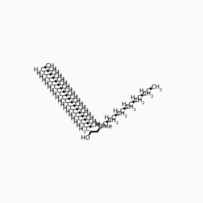 C=C.C=C.C=C.C=C.C=C.C=C.C=C.C=C.C=C.C=C.C=C.C=C.C=C.C=C.C=C.C=C.C=C.C=C.C=C.C=C.C=C.C=C.C=C.C=C.COCCO